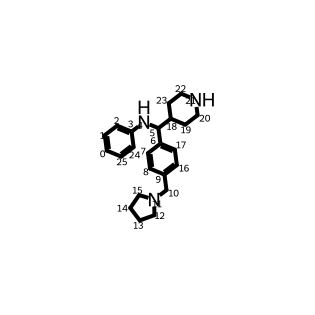 c1ccc(NC(c2ccc(CN3CCCC3)cc2)C2CCNCC2)cc1